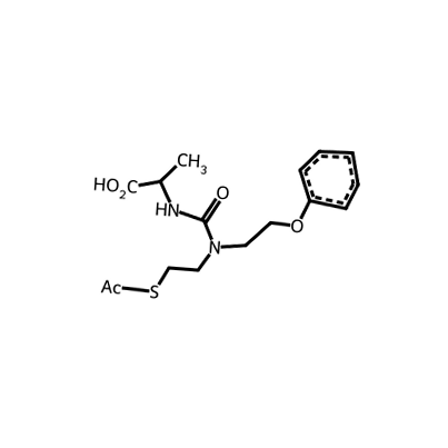 CC(=O)SCCN(CCOc1ccccc1)C(=O)NC(C)C(=O)O